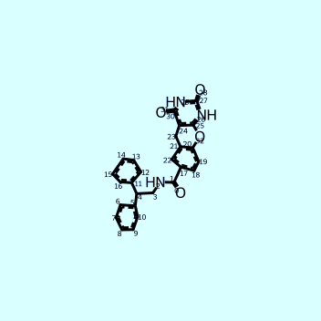 O=C(NCC(c1ccccc1)c1ccccc1)c1ccc2c(c1)Cc1c([nH]c(=O)[nH]c1=O)O2